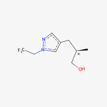 C[C@@H](CO)Cc1cnn(CC(F)(F)F)c1